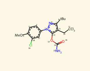 COc1ccc(-n2nc(C(C)(C)C)c(CC(Cl)(Cl)Cl)c2OC(N)=O)cc1Cl